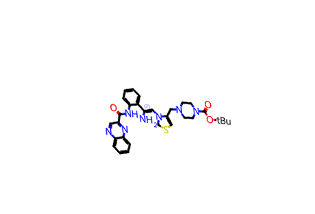 CC(C)(C)OC(=O)N1CCN(CC2=CSCN2/C=C(\N)c2ccccc2NC(=O)c2cnc3ccccc3n2)CC1